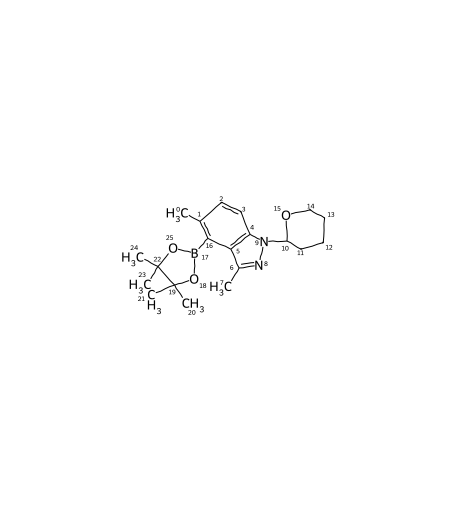 Cc1ccc2c(c(C)nn2C2CCCCO2)c1B1OC(C)(C)C(C)(C)O1